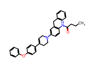 CCCC(=O)Nc1ccc(N2CC=C(c3ccc(Oc4ccccc4)cc3)CC2)cc1Cc1ccccc1